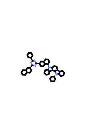 c1ccc(-c2nc(-c3ccc4ccccc4c3)nc(-c3ccc4c(-n5c6ccccc6c6c5ccc5c7ccccc7n(-c7ccccc7)c56)cccc4c3)n2)cc1